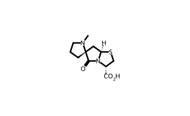 CN1CCC[C@]12C[C@H]1SC[C@H](C(=O)O)N1C2=O